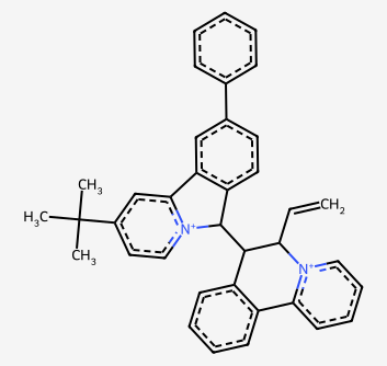 C=CC1C(C2c3ccc(-c4ccccc4)cc3-c3cc(C(C)(C)C)cc[n+]32)c2ccccc2-c2cccc[n+]21